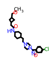 COCC1CC(CC(=O)NC2CCC(CCN3CCN(c4noc5cc(Cl)ccc45)CC3)CC2)C1